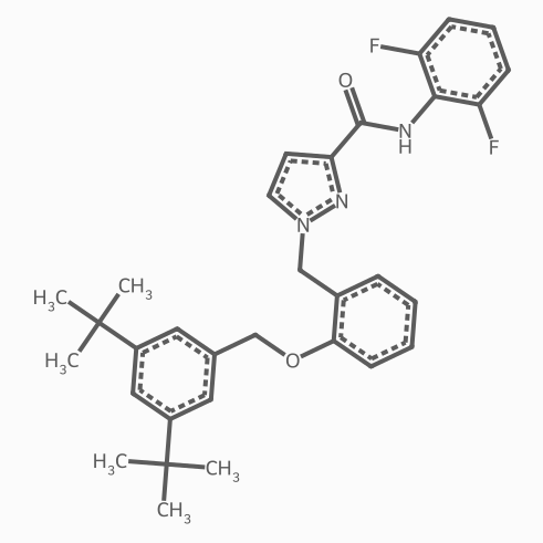 CC(C)(C)c1cc(COc2ccccc2Cn2ccc(C(=O)Nc3c(F)cccc3F)n2)cc(C(C)(C)C)c1